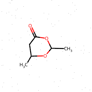 CC1CC(=O)OC(C)O1